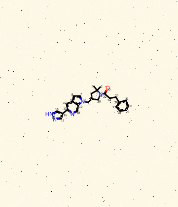 CC1(C)CC(Cn2ccc3cc(-c4cn[nH]c4)ncc32)CN1C(=O)CCc1ccccc1